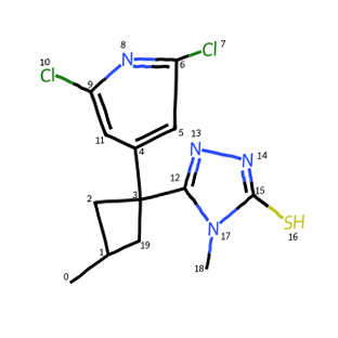 CC1CC(c2cc(Cl)nc(Cl)c2)(c2nnc(S)n2C)C1